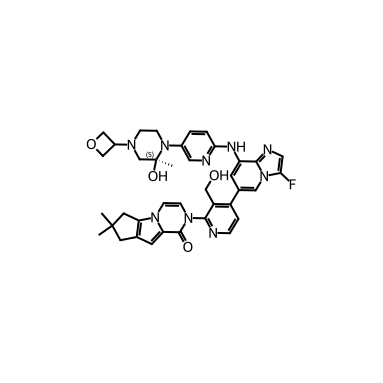 CC1(C)Cc2cc3c(=O)n(-c4nccc(-c5cc(Nc6ccc(N7CCN(C8COC8)C[C@]7(C)O)cn6)c6ncc(F)n6c5)c4CO)ccn3c2C1